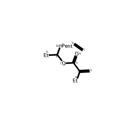 C=C.C=C(CC)C(=O)OC(CC)CCCCC